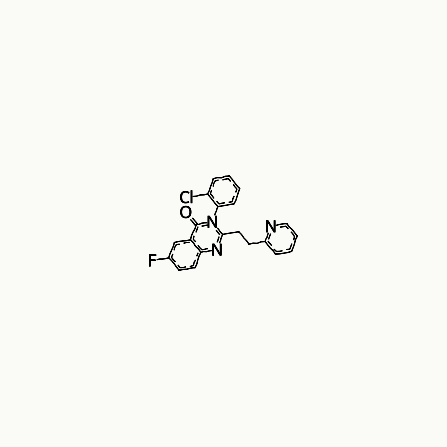 O=c1c2cc(F)ccc2nc(CCc2ccccn2)n1-c1ccccc1Cl